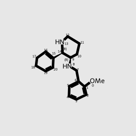 COc1ccccc1CN[C@@H]1CCCN[C@@H]1C1=CCCC=C1